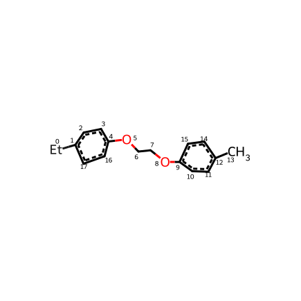 CCc1ccc(OCCOc2ccc(C)cc2)cc1